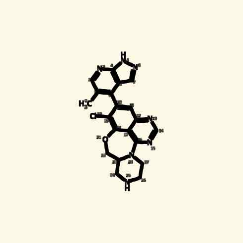 Cc1cnc2[nH]ncc2c1-c1cc2ncnc3c2c(c1Cl)OCC1CNCCN31